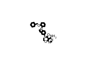 Nc1ncnc2c1C(=O)N(c1ccc3c(ccn3-c3ccccc3OCc3ccccc3)c1)CCO2